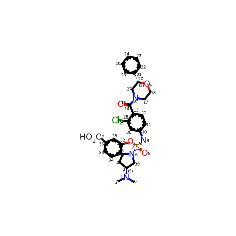 CN(C)[C@H]1CCN(S(=O)(=Nc2ccc(C(=O)N3CCO[C@@H](c4ccccc4)C3)c(Cl)c2)Oc2cccc(C(=O)O)c2)C1